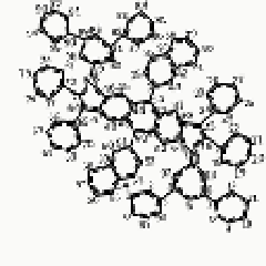 c1ccc(-c2cc(-c3ccccc3)cc(-n3c(-c4ccccc4)c(-c4ccccc4)c4cc5c(-c6ccc7ccccc7c6)c6cc7c(cc6c(-c6ccc8ccccc8c6)c5cc43)c(-c3ccccc3)c(-c3ccccc3)n7-c3cc(-c4ccccc4)cc(-c4ccccc4)c3)c2)cc1